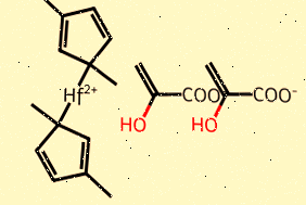 C=C(O)C(=O)[O-].C=C(O)C(=O)[O-].CC1=C[C](C)([Hf+2][C]2(C)C=CC(C)=C2)C=C1